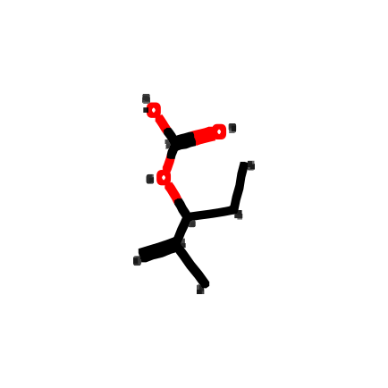 C=C(C)C(CC)OC([O])=O